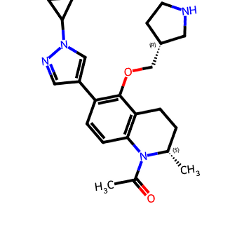 CC(=O)N1c2ccc(-c3cnn(C4CC4)c3)c(OC[C@@H]3CCNC3)c2CC[C@@H]1C